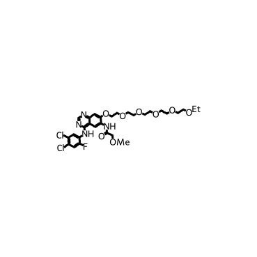 CCOCCOCCOCCOCCOCCOc1cc2ncnc(Nc3cc(Cl)c(Cl)cc3F)c2cc1NC(=O)COC